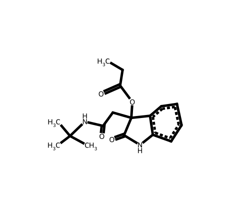 CCC(=O)OC1(CC(=O)NC(C)(C)C)C(=O)Nc2ccccc21